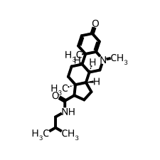 CC(C)CNC(=O)C1CC[C@H]2[C@@H]3CN(C)C4=CC(=O)C=C[C@]4(C)[C@@H]3CC[C@]12C